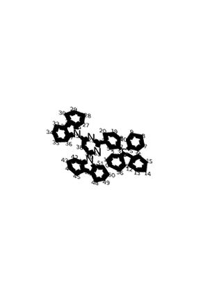 c1ccc(S(c2ccccc2)(c2ccccc2)c2cccc(-c3nc(-n4c5ccccc5c5ccccc54)cc(-n4c5ccccc5c5ccccc54)n3)c2)cc1